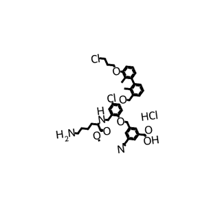 COC(=O)C(CCCCN)NCc1cc(Cl)c(OCc2cccc(-c3cccc(OCCCCl)c3C)c2C)cc1OCc1cc(C#N)cc(C(=O)O)c1.Cl